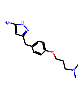 CN(C)CCCOc1ccc(Cc2cc(N)[nH]n2)cc1